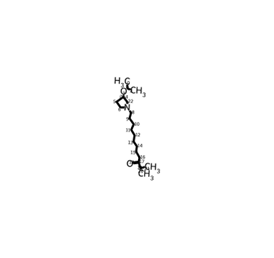 CC(C)O[C@H]1CCN(CCCCCCCCCC(=O)C(C)C)C1